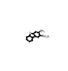 Nc1cc2oc3ccccc3c2cc1S(=O)(=O)O